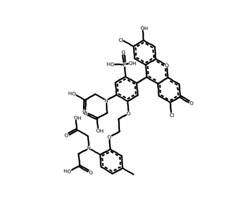 Cc1ccc(N(CC(=O)O)CC(=O)O)c(OCCOc2cc(-c3c4cc(Cl)c(=O)cc-4oc4cc(O)c(Cl)cc34)c(P(=O)(O)O)cc2N(CC(=O)O)CC(=O)O)c1